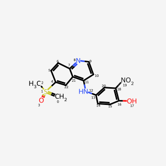 C=S(C)(=O)c1ccc2nccc(Nc3ccc(O)c([N+](=O)[O-])c3)c2c1